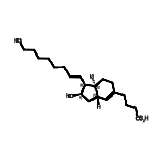 O=C(O)CCCC1=C[C@@H]2C[C@@H](O)[C@@H](C=CCCCCCCO)[C@H]2CC1